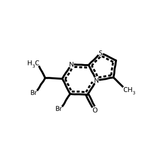 Cc1csc2nc(C(C)Br)c(Br)c(=O)n12